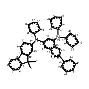 CC1(C)c2ccccc2-c2ccc(N(c3ccccc3)c3cc(N(c4ccccc4)c4ccccc4)c4nc(-c5ccccc5)oc4c3)cc21